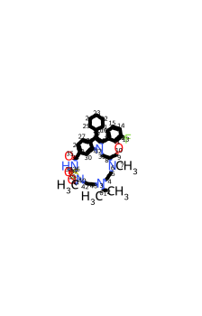 CC(C)N1CCN(C)C2COc3c(F)cccc3-c3c(C4CCCCC4)c4ccc(cc4n3C2)C(=O)NS(=O)(=O)N(C)CC1